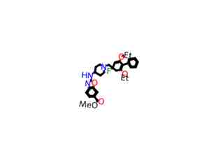 CCOC1=CC(F)(CN2CCC(Nc3nc4ccc(C(=O)OC)cc4o3)CC2)CC(OCC)=C1c1ccccc1